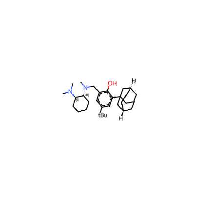 CN(C)[C@@H]1CCCC[C@H]1N(C)Cc1cc(C(C)(C)C)cc(C23CC4C[C@H](C2)C[C@H](C4)C3)c1O